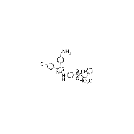 CN([C@@H](Cc1ccccc1)C(=O)O)S(=O)(=O)c1ccc(Nc2nc(-c3ccc(Cl)cc3)c(-c3ccc(CN)cc3)s2)cc1